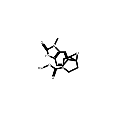 Cn1c(=O)[nH]c2ccc(C34CCN(C(=O)OC(C)(C)C)CC3O4)cc21